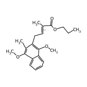 CCCOC(=O)/C(C)=C/Cc1c(C)c(OC)c2ccccc2c1OC